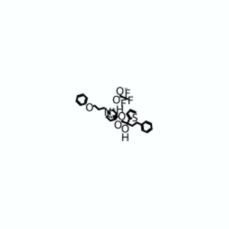 O=C(O[C@H]1C[N+]2(CCCOc3ccccc3)CCC1CC2)C(O)(CCc1ccccc1)c1cccs1.O=C([O-])C(F)(F)F